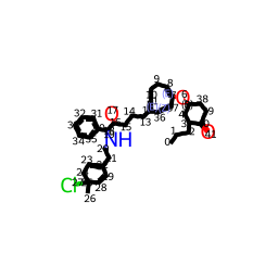 CCCC1C[C@H](OC2=C/CC/C=C(CCCC(=O)C(NCCC3=CCC(C)(Cl)C=C3)c3ccccc3)/C=C\2)CCC1=O